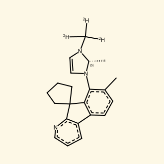 [2H]C([2H])([2H])N1C=CN(c2c(C)ccc3c2C2(CCCC2)c2ncccc2-3)[C@H]1C